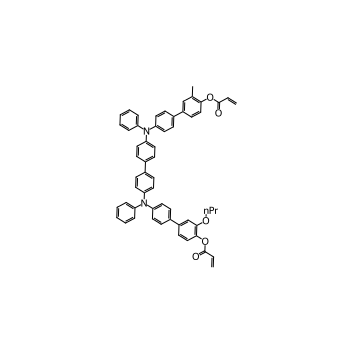 C=CC(=O)Oc1ccc(-c2ccc(N(c3ccccc3)c3ccc(-c4ccc(N(c5ccccc5)c5ccc(-c6ccc(OC(=O)C=C)c(OCCC)c6)cc5)cc4)cc3)cc2)cc1C